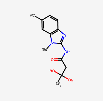 CC(C)(C)n1c(NC(=O)CC(O)(O)C(F)(F)F)nc2ccc(C#N)cc21